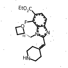 CCOC(=O)c1ccc2nc(C=C3CCNCC3)n(C[C@@H]3CCO3)c2c1F